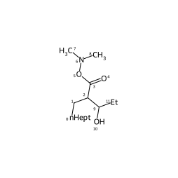 CCCCCCCCC(C(=O)ON(C)C)C(O)CC